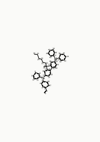 C=Cc1ccc(N(c2ccccc2)c2ccc3c(c2)C(C)(CCCCCC)c2cc(N(c4ccccc4)c4ccccc4)ccc2-3)cc1